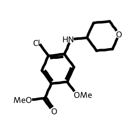 COC(=O)c1cc(Cl)c(NC2CCOCC2)cc1OC